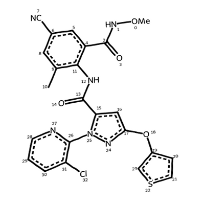 CONC(=O)c1cc(C#N)cc(C)c1NC(=O)c1cc(Oc2ccsc2)nn1-c1ncccc1Cl